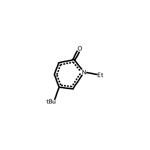 CCn1cc(C(C)(C)C)ccc1=O